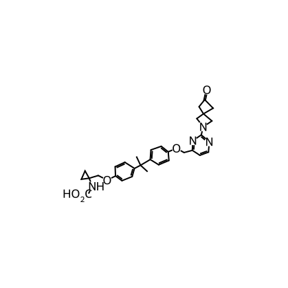 CC(C)(c1ccc(OCc2ccnc(N3CC4(CC(=O)C4)C3)n2)cc1)c1ccc(OCC2(NC(=O)O)CC2)cc1